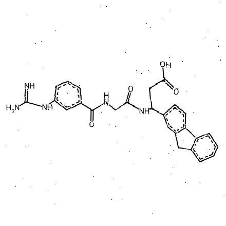 N=C(N)Nc1cccc(C(=O)NCC(=O)NC(CC(=O)O)c2ccc3c(c2)Cc2ccccc2-3)c1